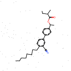 CCCCCCCCc1ccc(-c2ccc(C(C)OC(=O)C(C)CC)cc2)cc1C#N